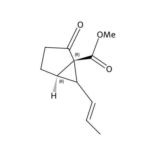 CC=CC1[C@H]2CCC(=O)[C@]12C(=O)OC